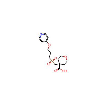 O=C(O)C1(CS(=O)(=O)CCCOc2ccncc2)CCOCC1